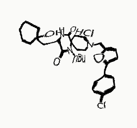 CCCCN1C(=O)[C@@H](CC2(O)CCCCC2)NC(=O)C12CCN(Cc1ccc(-c3ccc(Cl)cc3)o1)CC2.Cl